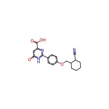 N#CC1CCCCC1COc1ccc(-c2nc(C(=O)O)cc(=O)[nH]2)cc1